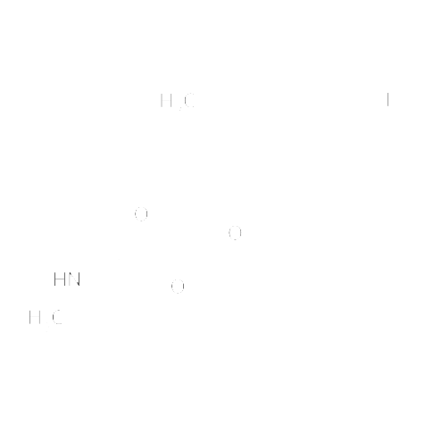 CNC(=O)Oc1oc2ccc(F)cc2c1C